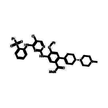 CNC(=O)c1cc(Nc2ncc(Cl)c(Nc3ccccc3S(=O)(=O)C(C)C)n2)c(OC(C)C)cc1C1=CC[C@@H](N2CCN(C)CC2)CC1